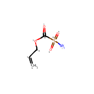 C=CCOC(=O)S(N)(=O)=O